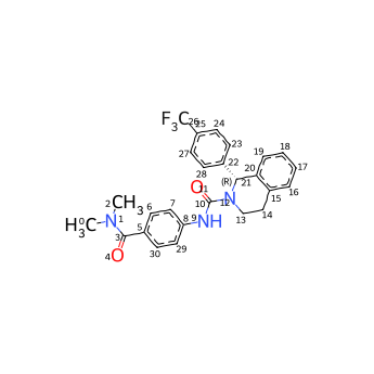 CN(C)C(=O)c1ccc(NC(=O)N2CCc3ccccc3[C@H]2c2ccc(C(F)(F)F)cc2)cc1